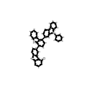 Clc1cccc2sc3ccc(-c4ccc(-c5ccc6c7ccccc7n(-c7ccccc7)c6c5)c5c4oc4ccccc45)cc3c12